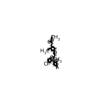 CCOC(=O)CCc1ccc(OCC[C@H](C)Oc2ccc(Cl)cc2Oc2ccc(F)cc2F)cc1CC